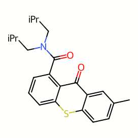 Cc1ccc2sc3cccc(C(=O)N(CC(C)C)CC(C)C)c3c(=O)c2c1